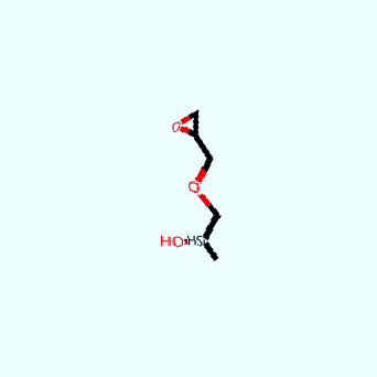 C[SiH](O)COCC1CO1